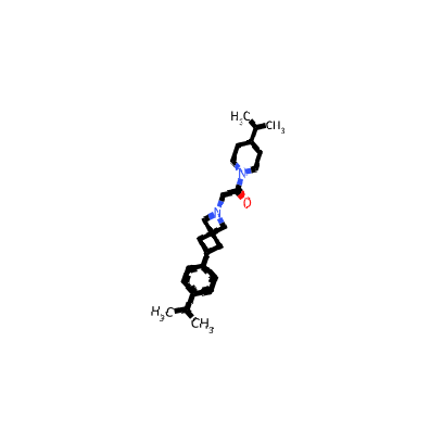 CC(C)c1ccc(C2CC3(C2)CN(CC(=O)N2CCC(C(C)C)CC2)C3)cc1